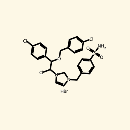 Br.NS(=O)(=O)c1ccc(CN2C=CN(C(Cl)C(OCc3ccc(Cl)cc3)c3ccc(Cl)cc3)C2)cc1